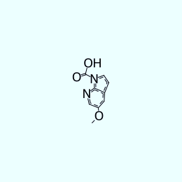 COc1cnc2c(ccn2C(=O)O)c1